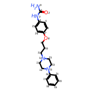 NC(=O)Nc1ccc(OCCCN2CCN(c3ccccc3)CC2)cc1